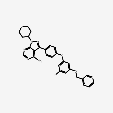 Nc1ncnc2c1c(-c1ccc(Oc3cc(F)cc(OCc4cccnc4)c3)cc1)nn2C1CCOCC1